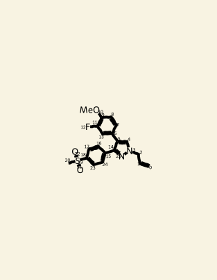 C=CCn1cc(-c2ccc(OC)c(F)c2)c(-c2ccc(S(C)(=O)=O)cc2)n1